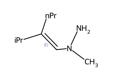 CCC/C(=C\N(C)N)C(C)C